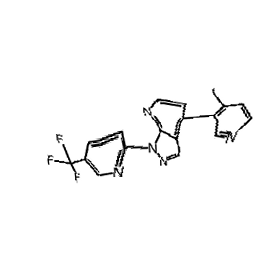 Cc1ccncc1-c1ccnc2c1cnn2-c1ccc(C(F)(F)F)cn1